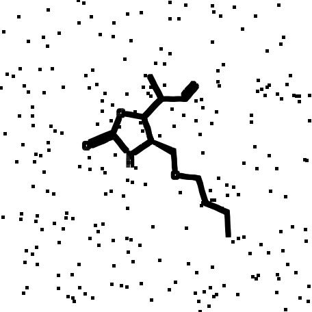 C=CC(C)C1OC(=O)N[C@@H]1COCCCC